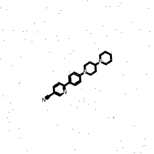 N#Cc1ccc(-c2ccc(N3CCC(N4CCCCC4)CC3)cc2)nc1